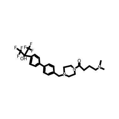 CN(C)CCCC(=O)N1CCN(Cc2ccc(-c3ccc(C(O)(C(F)(F)F)C(F)(F)F)cc3)cc2)CC1